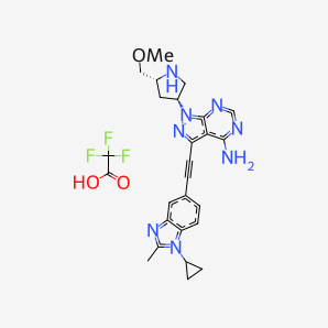 COC[C@H]1C[C@H](n2nc(C#Cc3ccc4c(c3)nc(C)n4C3CC3)c3c(N)ncnc32)CN1.O=C(O)C(F)(F)F